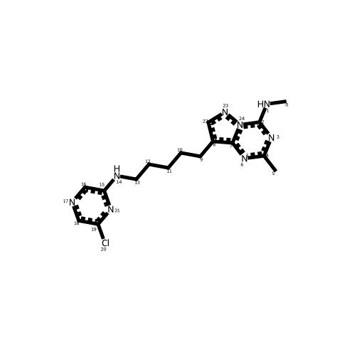 CNc1nc(C)nc2c(CCCCCNc3cncc(Cl)n3)cnn12